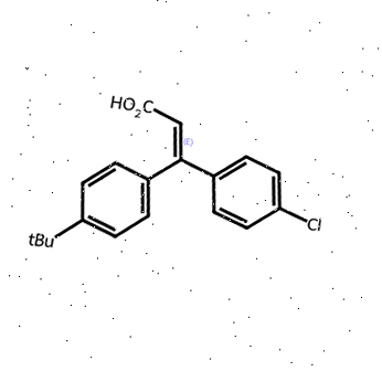 CC(C)(C)c1ccc(/C(=C\C(=O)O)c2ccc(Cl)cc2)cc1